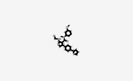 COc1cccc(N(C)C(=O)c2c(-c3ccc(-c4cccs4)cc3)csc2NC=O)c1